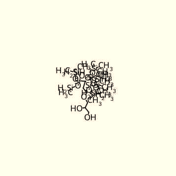 C[SiH2]O[Si](O[SiH2]C)(O[SiH2]C)C(CCOCC(O)CO)(O[Si](C)(O[Si](C)(C)C)O[Si](C)(C)C)[Si](O[SiH2]C)(O[SiH2]C)O[SiH2]C